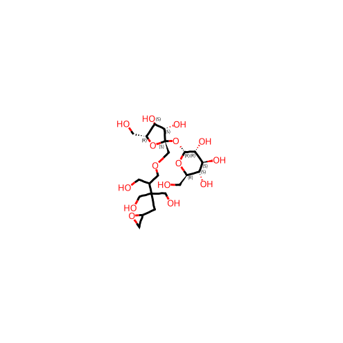 OCC(COC[C@@]1(O[C@H]2O[C@H](CO)[C@@H](O)[C@H](O)[C@H]2O)O[C@H](CO)[C@@H](O)[C@@H]1O)C(CO)(CO)CC1CO1